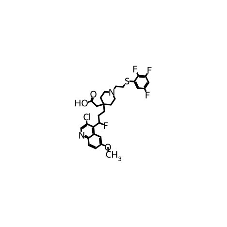 COc1ccc2ncc(Cl)c(C(F)CCC3(CC(=O)O)CCN(CCSc4cc(F)cc(F)c4F)CC3)c2c1